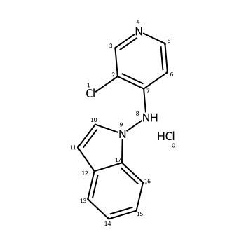 Cl.Clc1cnccc1Nn1ccc2ccccc21